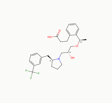 C[C@@H](OC[C@H](O)CN1CCC[C@H]1Cc1cccc(C(F)(F)F)c1)c1ccccc1CCC(=O)O